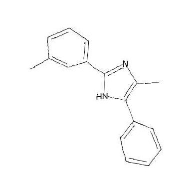 Cc1cccc(-c2nc(C)c(-c3ccccc3)[nH]2)c1